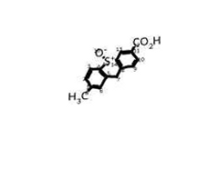 Cc1ccc2c(c1)Cc1ccc(C(=O)O)cc1[S+]2[O-]